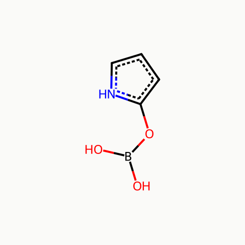 OB(O)Oc1ccc[nH]1